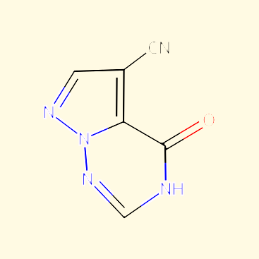 N#Cc1cnn2nc[nH]c(=O)c12